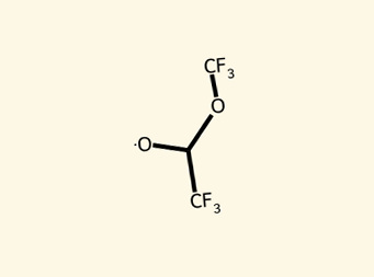 [O]C(OC(F)(F)F)C(F)(F)F